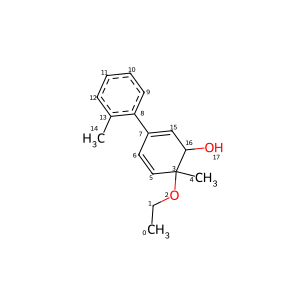 CCOC1(C)C=CC(c2ccccc2C)=CC1O